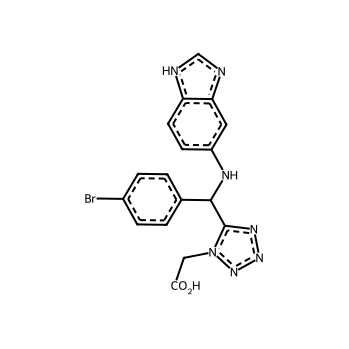 O=C(O)Cn1nnnc1C(Nc1ccc2[nH]cnc2c1)c1ccc(Br)cc1